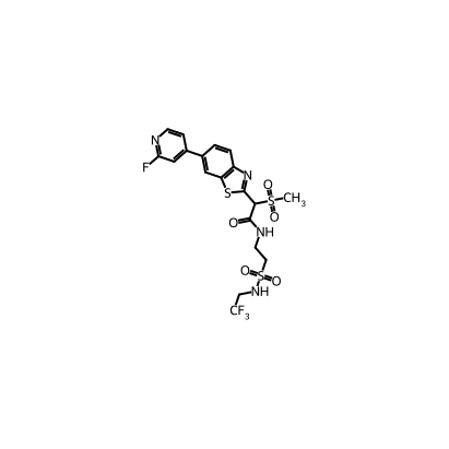 CS(=O)(=O)C(C(=O)NCCS(=O)(=O)NCC(F)(F)F)c1nc2ccc(-c3ccnc(F)c3)cc2s1